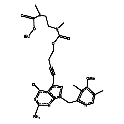 COc1c(C)cnc(Cn2cc(C#CCCOC(=O)N(C)CCN(C)C(=O)OC(C)(C)C)c3c(Cl)nc(N)nc32)c1C